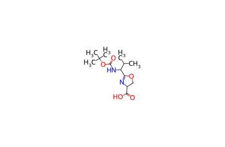 CC(C)C(NC(=O)OC(C)(C)C)C1=NC(C(=O)O)CO1